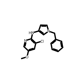 COc1cnc(Nc2ccn(Cc3ccccc3)c2)c(Cl)c1